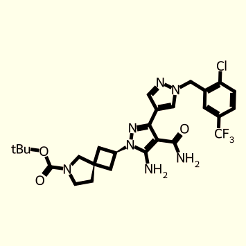 CC(C)(C)OC(=O)N1CC[C@]2(C1)C[C@H](n1nc(-c3cnn(Cc4cc(C(F)(F)F)ccc4Cl)c3)c(C(N)=O)c1N)C2